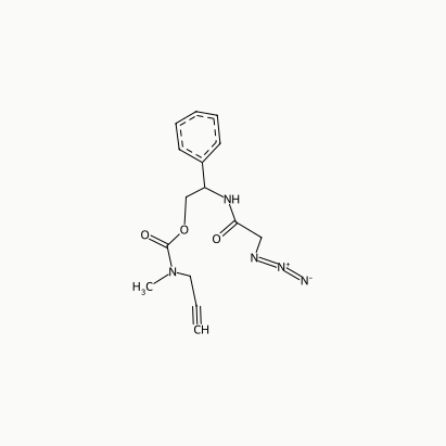 C#CCN(C)C(=O)OCC(NC(=O)CN=[N+]=[N-])c1ccccc1